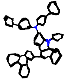 c1ccc(-c2ccc(N(c3ccc(-c4ccccc4)cc3)c3ccc4c5c(-c6ccc7c8ccccc8c8ccccc8c7c6)cc6ccccc6c5n(-c5ccccc5)c4c3)cc2)cc1